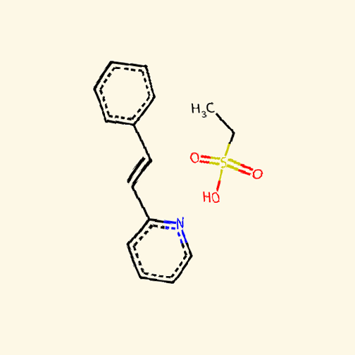 C(=Cc1ccccn1)c1ccccc1.CCS(=O)(=O)O